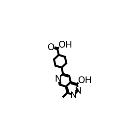 Cc1nnc(O)c2cc(C3CCC(C(=O)O)CC3)ncc12